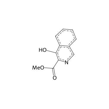 COC(=O)c1ncc2ccccc2c1O